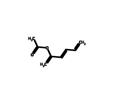 C=CC=CC(=C)OC(C)=O